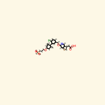 Cc1cc(OCCCS(C)(=O)=O)cc(C)c1-c1cc(COc2cc3c(cn2)C(CC(=O)O)CS3)ccc1F